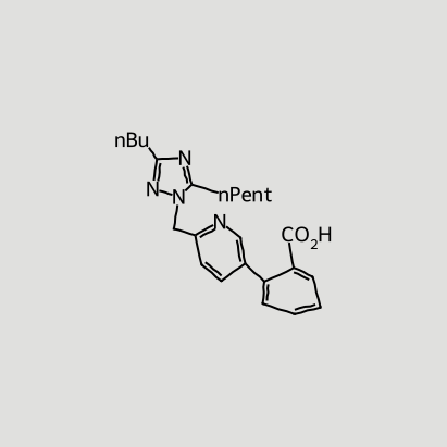 CCCCCc1nc(CCCC)nn1Cc1ccc(-c2ccccc2C(=O)O)cn1